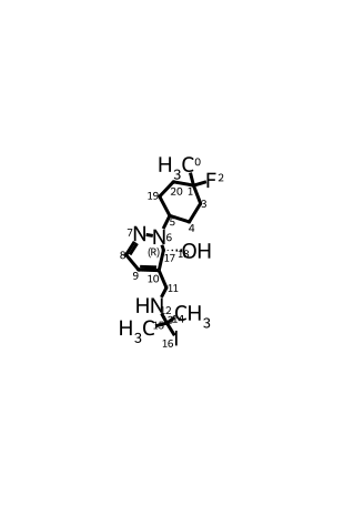 CC1(F)CCC(N2N=CC=C(CNC(C)(C)I)[C@H]2O)CC1